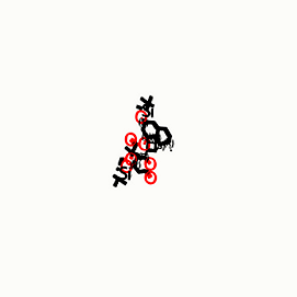 CCOC(C)(C)C(=O)O[C@H]1C[C@H](O[Si](C)(C)C(C)(C)C)C=C2C=C[C@H](C)[C@H](CC[C@@H]3C[C@@H](O[Si](C)(C)C(C)(C)C)CC(=O)O3)[C@H]21